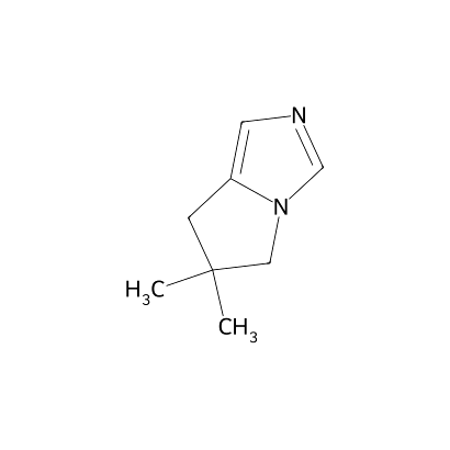 CC1(C)Cc2cncn2C1